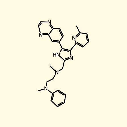 Cc1cccc(-c2nc(CN(I)CCN(C)c3ccccc3)[nH]c2-c2ccc3nccnc3c2)n1